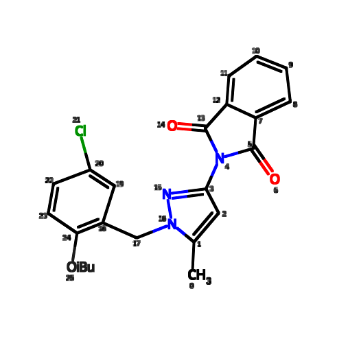 Cc1cc(N2C(=O)c3ccccc3C2=O)nn1Cc1cc(Cl)ccc1OCC(C)C